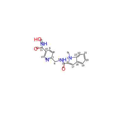 Cn1c(C(=O)NCc2ccc(C(=O)NO)cn2)cc2ccccc21